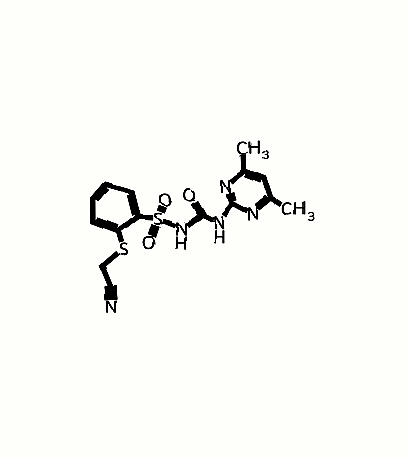 Cc1cc(C)nc(NC(=O)NS(=O)(=O)c2ccccc2SCC#N)n1